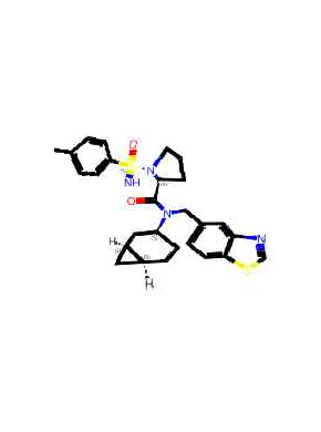 Cc1ccc([S@](=N)(=O)N2CCC[C@H]2C(=O)N(Cc2ccc3scnc3c2)[C@H]2CC[C@H]3C[C@H]3C2)cc1